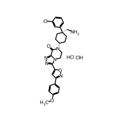 COc1ccc(-c2cc(-c3nnc4n3CCN([C@H]3CC[C@](CN)(c5cccc(Cl)c5)CC3)C4=O)on2)cc1.Cl.Cl